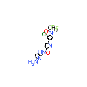 CC(=O)N(CC(F)F)c1ccc(-c2ccc(C(=O)NCc3cccc(N)n3)cn2)cc1Cl